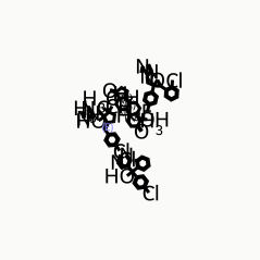 CC1(C)CC/C(=C\c2ccc(Cl)cc2)C1(O)Cn1cncn1.C[C@]12CCC(=O)C(O)=C1CC[C@@H]1[C@@H]2CC[C@]2(C)C(=O)CC[C@@H]12.Fc1ccc(C2(Cn3cncn3)OC2c2ccccc2Cl)cc1.OC(c1ccc(Cl)cc1)(c1cncnc1)c1ccccc1Cl